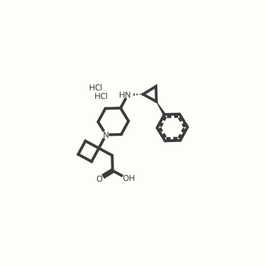 Cl.Cl.O=C(O)CC1(N2CCC(N[C@@H]3C[C@H]3c3ccccc3)CC2)CCC1